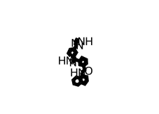 O=C(Nc1cccc2c1CCCC2)c1cccc(-c2n[nH]c3ccc(-c4nc[nH]n4)cc23)c1